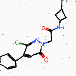 CC1CC(NC(=O)Cn2nc(Cl)c(-c3ccccc3)cc2=O)C1